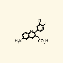 Bc1ccc2nc(-c3ccc(F)c(Cl)c3)c(CC(=O)O)cc2c1